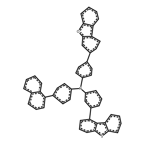 c1cc(-c2cccc3sc4ccccc4c23)cc(N(c2ccc(-c3ccc4c(c3)oc3ccccc34)cc2)c2ccc(-c3cccc4ccccc34)cc2)c1